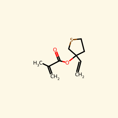 C=CC1(OC(=O)C(=C)C)CCSC1